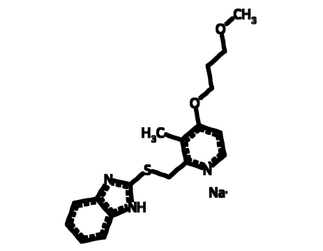 COCCCOc1ccnc(CSc2nc3ccccc3[nH]2)c1C.[Na]